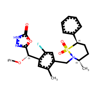 Cc1cc([C@H](OC(C)C)c2n[nH]c(=O)o2)c(F)cc1CN1[C@@H](C)CC[C@H](c2ccccc2)S1(=O)=O